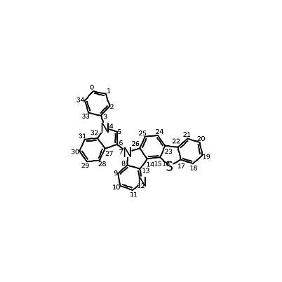 c1ccc(-n2cc(-n3c4cccnc4c4c5sc6ccccc6c5ccc43)c3ccccc32)cc1